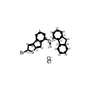 [Cl-].[Cl-].[S]=[Zr+2]([c]1cccc2c1C=C1SC(Br)C=C12)[c]1cccc2c1-c1ccccc1C2